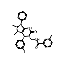 Cc1cccc(C(=O)NC[C@@H]2C(=O)NC3=C(C(C)N(C)N3c3ccccc3)[C@@H]2c2cccc(F)c2)c1